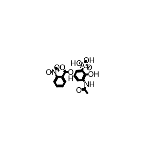 CC(=O)Nc1cccc([As](=O)(O)O)c1O.O=C(O)c1ccccc1[N+](=O)[O-]